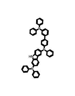 C1=CCC(N(c2ccc(-c3cccc(N(C4=CCCC=C4)c4ccccc4)c3)cc2)c2ccc3[nH]c4cc(N(c5ccccc5)c5ccccc5)ccc4c3c2)C=C1